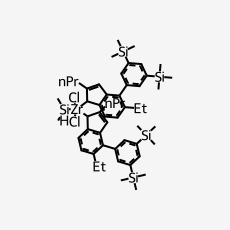 CCCC1=Cc2c(ccc(CC)c2-c2cc([Si](C)(C)C)cc([Si](C)(C)C)c2)[CH]1[Zr]([Cl])([Cl])([CH]1C(CCC)=Cc2c1ccc(CC)c2-c1cc([Si](C)(C)C)cc([Si](C)(C)C)c1)[SiH](C)C